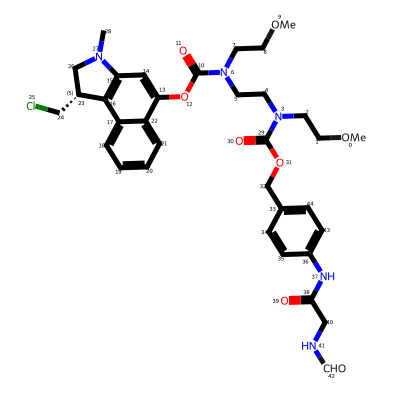 COCCN(CCN(CCOC)C(=O)Oc1cc2c(c3ccccc13)[C@H](CCl)CN2C)C(=O)OCc1ccc(NC(=O)CNC=O)cc1